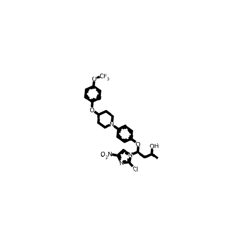 CC(O)CC(Oc1ccc(N2CCC(Oc3ccc(OC(F)(F)F)cc3)CC2)cc1)n1cc([N+](=O)[O-])nc1Cl